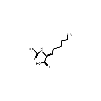 CCCCCC=C(NC(N)=O)C(=O)O